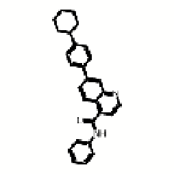 O=C(Nc1ccccc1)c1ccnc2cc(-c3ccc(C4CCCCC4)cc3)ccc12